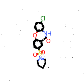 O=C1Nc2cc(Cl)ccc2Oc2ccc(S(=O)(=O)N3CCCCC3)cc21